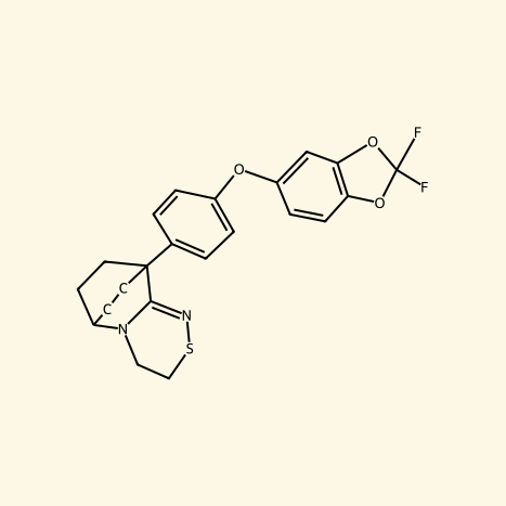 FC1(F)Oc2ccc(Oc3ccc(C45CCC(CC4)N4CCSN=C45)cc3)cc2O1